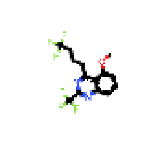 COc1cccc2nc(C(F)(F)F)nc(CCCC(F)(F)F)c12